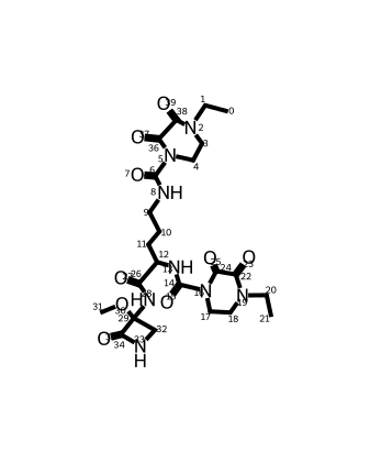 CCN1CCN(C(=O)NCCCC(NC(=O)N2CCN(CC)C(=O)C2=O)C(=O)NC2(OC)CNC2=O)C(=O)C1=O